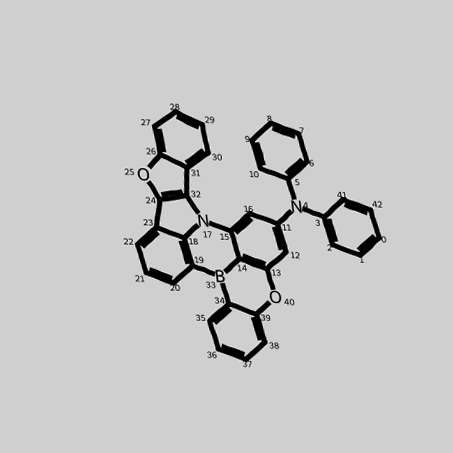 c1ccc(N(c2ccccc2)c2cc3c4c(c2)-n2c5c(cccc5c5oc6ccccc6c52)B4c2ccccc2O3)cc1